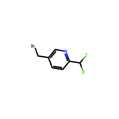 FC(F)c1ccc(CBr)cn1